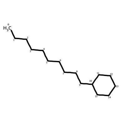 CCCCCCCCCCC1C[CH]CCC1